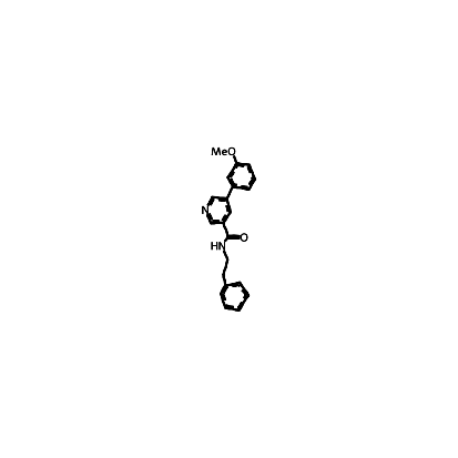 COc1cccc(-c2cncc(C(=O)NCCc3ccccc3)c2)c1